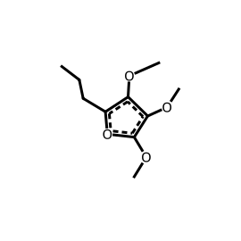 CCCc1oc(OC)c(OC)c1OC